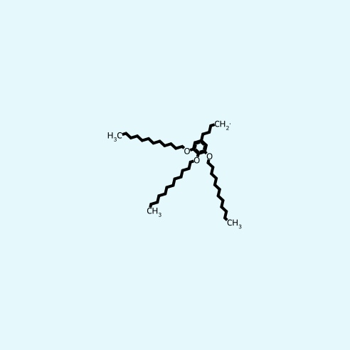 [CH2]CCCc1cc(OCCCCCCCCCCCC)c(OCCCCCCCCCCCC)c(OCCCCCCCCCCCC)c1